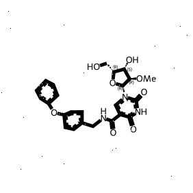 CO[C@@H]1[C@@H](O)[C@@H](CO)O[C@H]1n1cc(C(=O)NCc2ccc(Oc3ccccc3)cc2)c(=O)[nH]c1=O